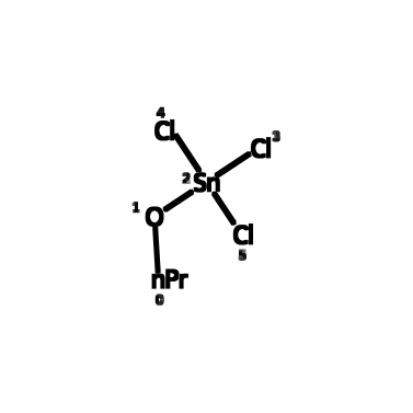 CCC[O][Sn]([Cl])([Cl])[Cl]